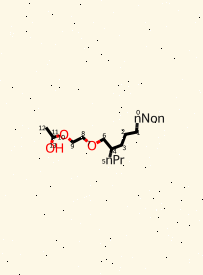 CCCCCCCCCCCCC(CCC)COCCOC(C)O